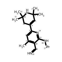 Cc1cc(C2=CC(C)(C)NC(C)(C)C2)nc(NC(C)C)c1C=N